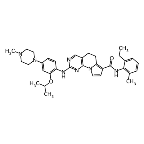 CCc1cccc(C)c1NC(=O)c1ccn2c1CCc1cnc(Nc3ccc(N4CCN(C)CC4)cc3OC(C)C)nc1-2